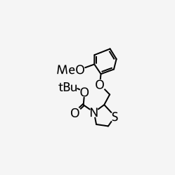 COc1ccccc1OCC1SCCN1C(=O)OC(C)(C)C